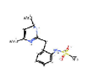 COc1cc(OC)nc(Cc2ccccc2NS(=O)(=O)C(F)(F)F)n1